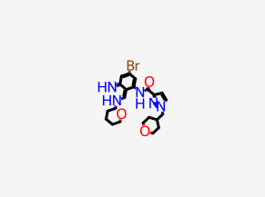 N=C1C=C(Br)C=C(NC(=O)c2ccn(CC3CCOCC3)n2)/C1=C/NC1CCCCO1